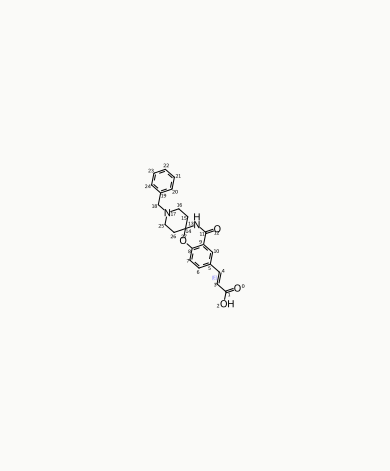 O=C(O)/C=C/c1ccc2c(c1)C(=O)NC1(CCN(Cc3ccccc3)CC1)O2